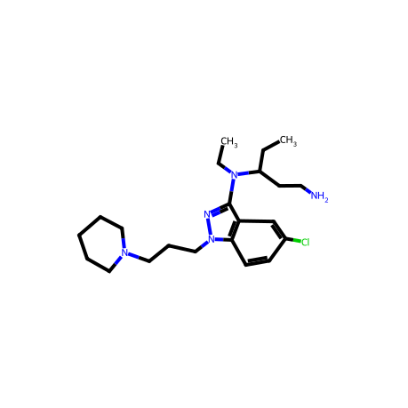 CCC(CCN)N(CC)c1nn(CCCN2CCCCC2)c2ccc(Cl)cc12